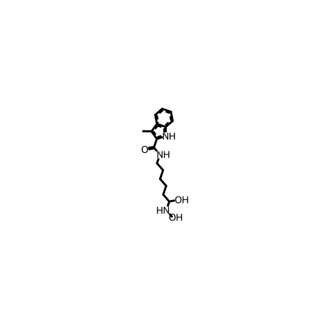 Cc1c(C(=O)NCCCCCC(O)NO)[nH]c2ccccc12